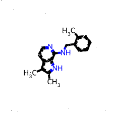 Cc1ccccc1CNc1nccc2c(C)c(C)[nH]c12